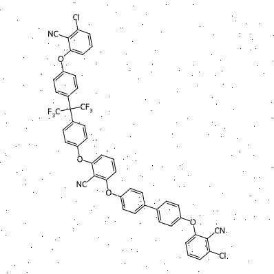 N#Cc1c(Cl)cccc1Oc1ccc(-c2ccc(Oc3cccc(Oc4ccc(C(c5ccc(Oc6cccc(Cl)c6C#N)cc5)(C(F)(F)F)C(F)(F)F)cc4)c3C#N)cc2)cc1